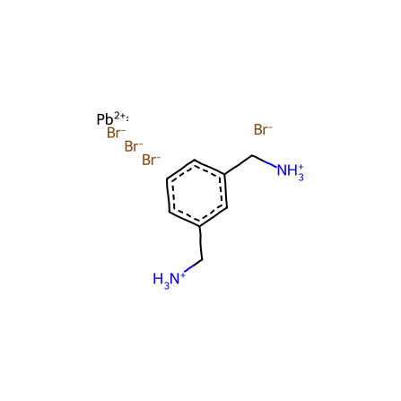 [Br-].[Br-].[Br-].[Br-].[NH3+]Cc1cccc(C[NH3+])c1.[Pb+2]